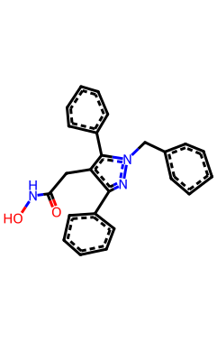 O=C(Cc1c(-c2ccccc2)nn(Cc2ccccc2)c1-c1ccccc1)NO